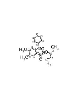 CCC(=O)CC.Cc1cc(C(=O)c2ccccc2)c([N+](=O)[O-])cc1C